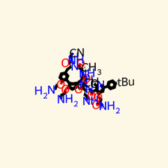 Cc1nc(-c2ccc(C(C)(C)C)cc2)cc(OCC(N)=O)c1C(=O)N[C@@H](CCN)C(=O)N(C)[C@@H]1C(=O)N[C@@H](C)C(=O)N[C@H](C(=O)NCC#N)Cc2ccc(OCCN)c(c2)-c2cc1ccc2OCCN